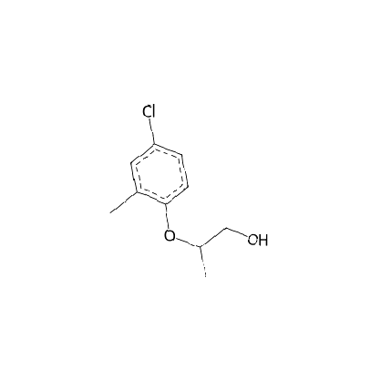 Cc1cc(Cl)ccc1OC(C)CO